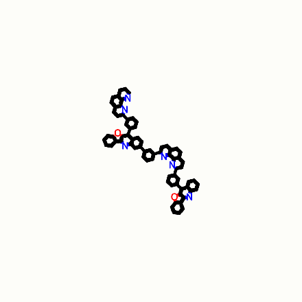 c1cc(-c2ccc3c(-c4cccc(-c5ccc6ccc7cccnc7c6n5)c4)c4oc5ccccc5c4nc3c2)cc(-c2ccc3ccc4ccc(-c5cccc(-c6c7ccccc7nc7c6oc6ccccc67)c5)nc4c3n2)c1